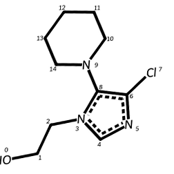 OCCn1cnc(Cl)c1N1CCCCC1